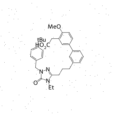 CCn1c(CCCc2cccc(-c3ccc(OC)c(CC(=O)O)c3)c2)nn(Cc2ccc(C(C)(C)C)cc2)c1=O